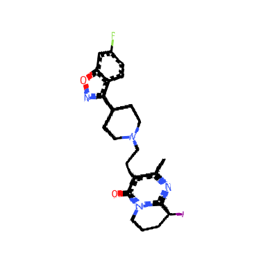 Cc1nc2n(c(=O)c1CCN1CCC(c3noc4cc(F)ccc34)CC1)CCCC2I